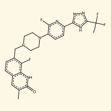 Cc1cc2ccc(CN3CCN(c4ccc(-c5nnc(C(F)(F)F)[nH]5)nc4F)CC3)c(F)c2[nH]c1=O